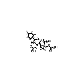 CN(C(=O)[C@H](CC(=O)O)NC(=O)c1ccc(F)cc1)[C@@H](CCC(=O)O)C(=O)O